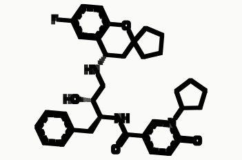 O=C(N[C@@H](Cc1ccccc1)[C@H](O)CN[C@H]1CC2(CCCC2)Oc2ccc(F)cc21)c1ccc(=O)n(C2CCCC2)c1